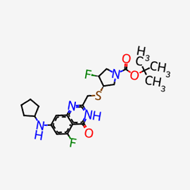 CC(C)(C)OC(=O)N1C[C@H](F)[C@H](SCc2nc3cc(NC4CCCC4)cc(F)c3c(=O)[nH]2)C1